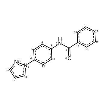 O=C(Nc1ccc(-n2cccn2)cc1)c1ccccc1